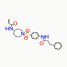 C=CC(=O)NC1CCCN(S(=O)(=O)c2ccc(NC(=O)CCc3ccccc3)cc2)CC1